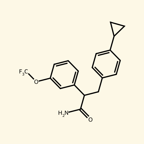 NC(=O)C(Cc1ccc(C2CC2)cc1)c1cccc(OC(F)(F)F)c1